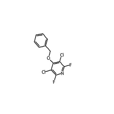 Fc1nc(F)c(Cl)c(OCc2ccccc2)c1Cl